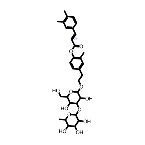 Cc1ccc(/C=C/C(=O)Oc2ccc(CCOC3OC(CO)C(O)C(OC4OC(C)C(O)C(O)C4O)C3O)cc2C)cc1C